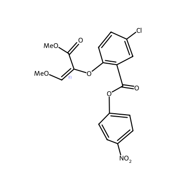 CO/C=C(/Oc1ccc(Cl)cc1C(=O)Oc1ccc([N+](=O)[O-])cc1)C(=O)OC